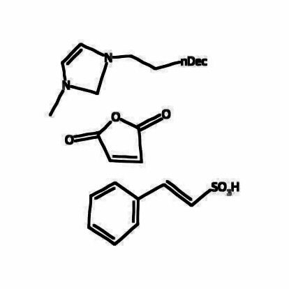 CCCCCCCCCCCCN1C=CN(C)C1.O=C1C=CC(=O)O1.O=S(=O)(O)C=Cc1ccccc1